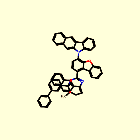 CC1C/C=C(c2ccc3ccccc3c2)/N=C(c2ccc(-n3c4ccccc4c4cc5ccccc5cc43)c3oc4ccccc4c23)\N=C/1c1cccc(-c2ccccc2)c1